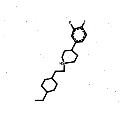 CCC1CCC(CC[SiH]2CCC(c3ccc(F)c(F)c3)CC2)CC1